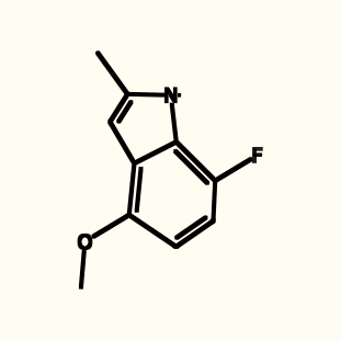 COc1ccc(F)c2c1C=C(C)[N]2